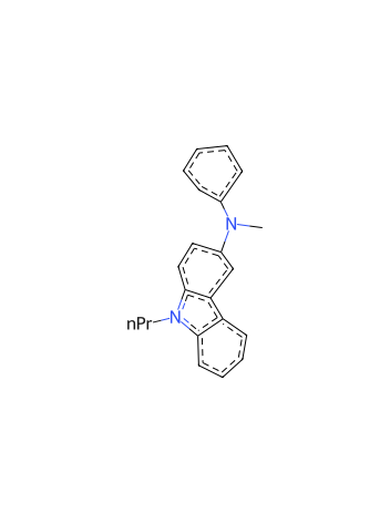 CCCn1c2ccccc2c2cc(N(C)c3ccccc3)ccc21